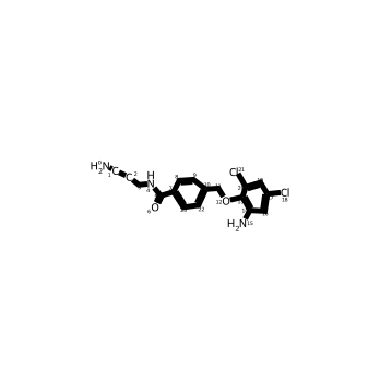 NCCCNC(=O)c1ccc(COc2c(N)cc(Cl)cc2Cl)cc1